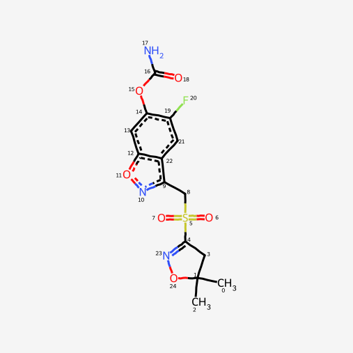 CC1(C)CC(S(=O)(=O)Cc2noc3cc(OC(N)=O)c(F)cc23)=NO1